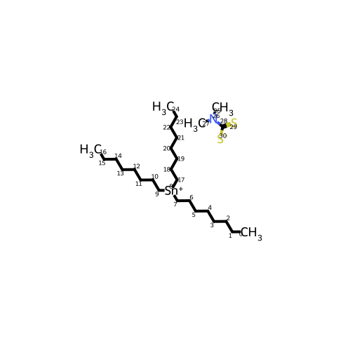 CCCCCCC[CH2][Sn+]([CH2]CCCCCCC)[CH2]CCCCCCC.CN(C)C(=S)[S-]